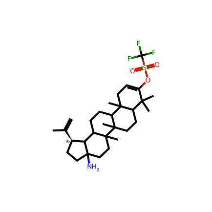 C=C(C)[C@@H]1CCC2(N)CCC3(C)C(CCC4C5(C)CC=C(OS(=O)(=O)C(F)(F)F)C(C)(C)C5CCC43C)C12